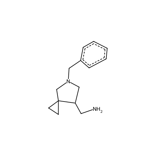 NCC1CN(Cc2ccccc2)CC12CC2